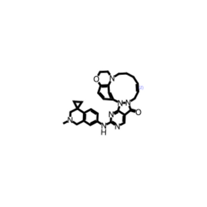 CN1Cc2cc(Nc3ncc4c(=O)n5n(c4n3)-c3ccc4c(c3)N(CCC/C=C\C5)CCO4)ccc2C2(CC2)C1